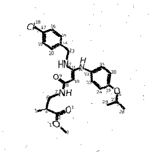 COC(=O)[C@@H](C)CNC(=O)/C=C(\NCc1ccc(Cl)cc1)Nc1ccc(OC(C)C)cc1